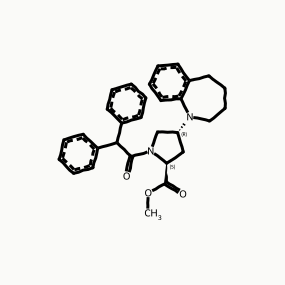 COC(=O)[C@@H]1C[C@@H](N2CCCCc3ccccc32)CN1C(=O)C(c1ccccc1)c1ccccc1